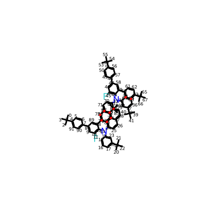 CC(C)(C)c1ccc(-c2cc(F)c(N(c3cccc(C(C)(C)C)c3)c3ccc4ccc5c(N(c6cccc(C(C)(C)C)c6)c6c(F)cc(-c7ccc(C(C)(C)C)cc7)cc6-c6ccc(C(C)(C)C)cc6)ccc6ccc3c4c65)c(-c3ccc(C(C)(C)C)cc3)c2)cc1